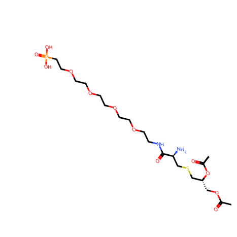 CC(=O)OC[C@H](CSC[C@H](N)C(=O)NCCOCCOCCOCCOCCP(=O)(O)O)OC(C)=O